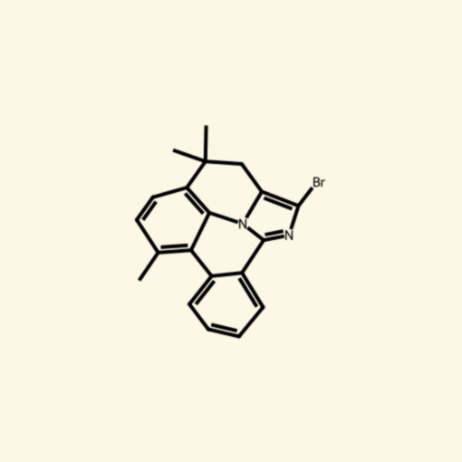 Cc1ccc2c3c1c1ccccc1c1nc(Br)c(n13)CC2(C)C